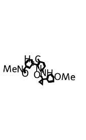 CNC(=O)c1cccc(-c2nc(NC(=O)C3(c4ccc(OC)cc4)CC3)ccc2C)c1